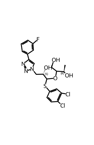 C[C@@H](O)C(CO)OC(Sc1ccc(Cl)c(Cl)c1)[C@@H](O)Cn1cc(-c2cccc(F)c2)nn1